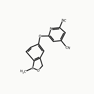 [C-]#[N+]c1cc(C#N)cc(Oc2ccc3c(c2)COB3C)n1